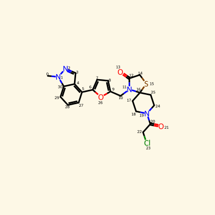 Cn1ncc2c(-c3ccc(CN4C(=O)CSC45CCN(C(=O)CCl)CC5)o3)cccc21